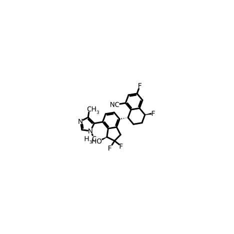 Cc1ncn(C)c1-c1ccc([C@H]2CC[C@H](F)c3cc(F)cc(C#N)c32)c2c1[C@H](O)C(F)(F)C2